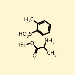 CC(N)C(=O)OC(C)(C)C.Cc1ccccc1S(=O)(=O)O